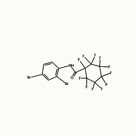 O=C(Nc1ccc(Br)cc1Br)C1(F)C(F)(F)C(F)(F)C(F)(F)C(F)(F)C1(F)F